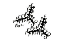 O=C([O-])C(F)(F)C(F)(F)N(C(F)(F)C(F)(F)C(F)(F)C(F)(F)F)C(F)(F)C(F)(F)C(F)(F)C(F)(F)F.O=C([O-])C(F)(F)C(F)(F)N(C(F)(F)C(F)(F)C(F)(F)C(F)(F)F)C(F)(F)C(F)(F)C(F)(F)C(F)(F)F.[Ba+2]